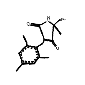 Cc1cc(C)c(C2C(=O)NC(C)(C(C)C)C2=O)c(C)c1